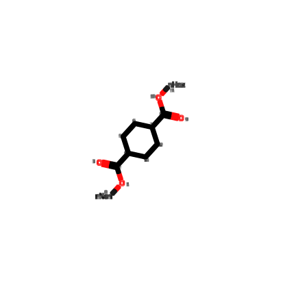 CCCCCCCCCOC(=O)C1CCC(C(=O)OCCCCCC)CC1